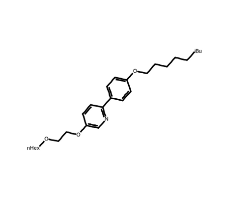 CCCCCCOCCOc1ccc(-c2ccc(OCCCCCC(C)CC)cc2)nc1